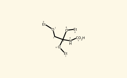 CCOCC(NC(=O)O)(OCC)OCC